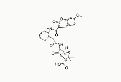 COc1ccc2cc(C(=O)Nc3ccccc3CC(=O)NC3C(=O)N4[C@@H]3SC(C)(C)[C@@H]4C(=O)O)c(=O)oc2c1